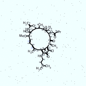 C=C1NC2(O)CC(O1)C(C)C1OC1(C)C(OC(=O)C(C)C)CC(=O)N(C)C1=C(Cl)C(=O)C(NCCN(C)C)=C(C/C(C)=C/C=C/C2OC)C1=O